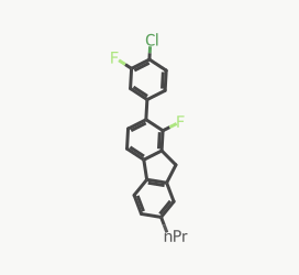 CCCc1ccc2c(c1)Cc1c-2ccc(-c2ccc(Cl)c(F)c2)c1F